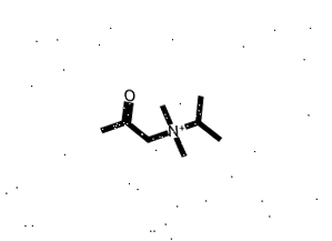 CC(=O)C[N+](C)(C)C(C)C